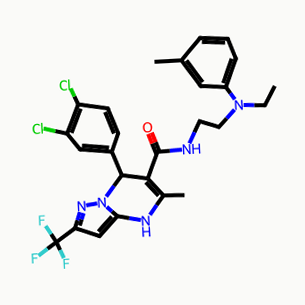 CCN(CCNC(=O)C1=C(C)Nc2cc(C(F)(F)F)nn2C1c1ccc(Cl)c(Cl)c1)c1cccc(C)c1